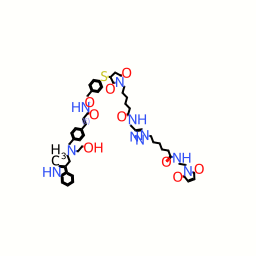 Cc1[nH]c2ccccc2c1CCN(CCO)Cc1ccc(/C=C/C(=O)NOCc2ccc(SC3CC(=O)N(CCCCCC(=O)NCc4cn(CCCCCC(=O)NCCN5C(=O)C=CC5=O)nn4)C3=O)cc2)cc1